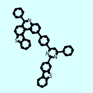 c1ccc(-c2cc(-c3ccc(-c4ccc5nc(-c6ccccc6)c6ccc7sc8ccccc8c7c6c5c4)cc3)nc(-c3ccc4c(c3)sc3ccccc34)n2)cc1